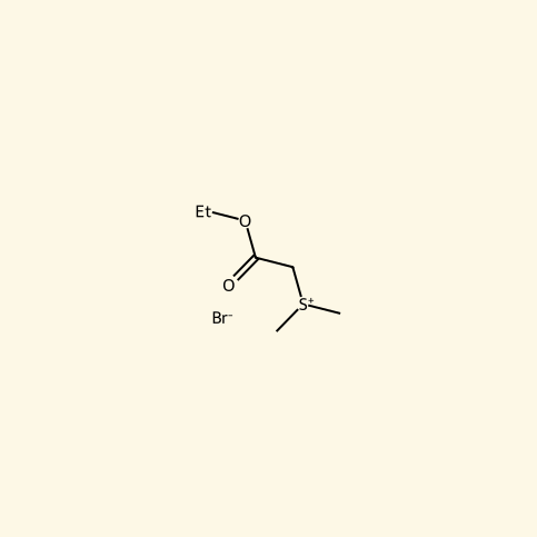 CCOC(=O)C[S+](C)C.[Br-]